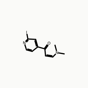 CN(C)/C=C\C(=O)c1ccnc(I)c1